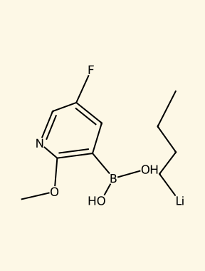 COc1ncc(F)cc1B(O)O.[Li][CH2]CCC